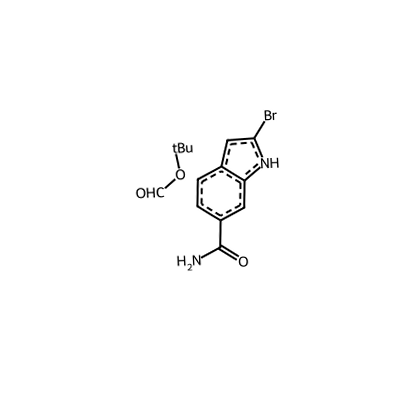 CC(C)(C)OC=O.NC(=O)c1ccc2cc(Br)[nH]c2c1